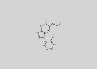 CCOC(=O)C(C)Oc1ncn(-c2ccccc2Cl)n1